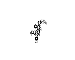 CC1(C)CN(C(=O)c2ncccc2-n2cnc(Cn3nc(-c4ccc(Cl)cc4)n(C[C@H](O)C(F)(F)F)c3=O)n2)CCO1